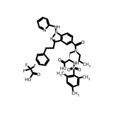 CCCN(C[C@H](NS(=O)(=O)c1c(C)cc(C)cc1C)C(=O)O)C(=O)c1ccc2c(c1)c(CCc1ccccc1)nn2Nc1ccccn1.O=C(O)C(F)(F)F